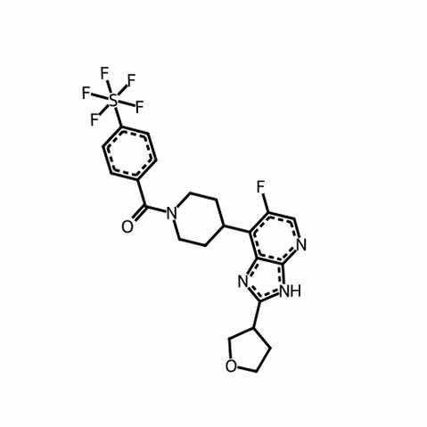 O=C(c1ccc(S(F)(F)(F)(F)F)cc1)N1CCC(c2c(F)cnc3[nH]c(C4CCOC4)nc23)CC1